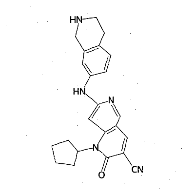 N#Cc1cc2cnc(Nc3ccc4c(c3)CNCC4)cc2n(C2CCCC2)c1=O